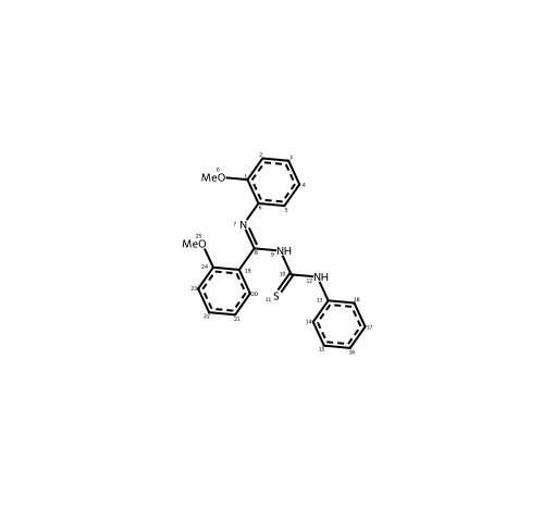 COc1ccccc1/N=C(\NC(=S)Nc1ccccc1)c1ccccc1OC